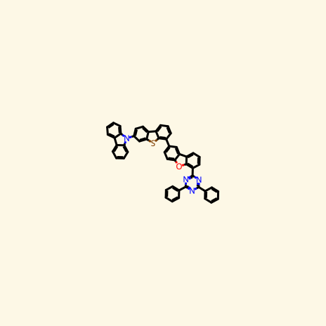 c1ccc(-c2nc(-c3ccccc3)nc(-c3cccc4c3oc3ccc(-c5cccc6c5sc5cc(-n7c8ccccc8c8ccccc87)ccc56)cc34)n2)cc1